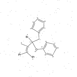 CC(=C(C(C)C)C(C)C)C(Br)(Cc1ccccc1)Oc1ccccc1